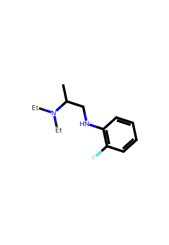 CCN(CC)C(C)CNc1[c]cccc1F